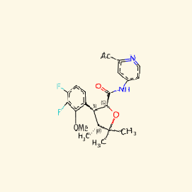 COc1c([C@H]2[C@@H](C(=O)Nc3ccnc(C(C)=O)c3)OC(C)(C)[C@@H]2C)ccc(F)c1F